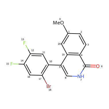 COc1ccc2c(=O)[nH]cc(-c3cc(F)c(F)cc3Br)c2c1